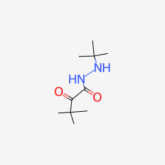 CC(C)(C)NNC(=O)C(=O)C(C)(C)C